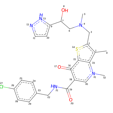 Cc1c(CN(C)CC(O)c2ccn[nH]2)sc2c(=O)c(C(=O)NCc3ccc(Cl)cc3)cn(C)c12